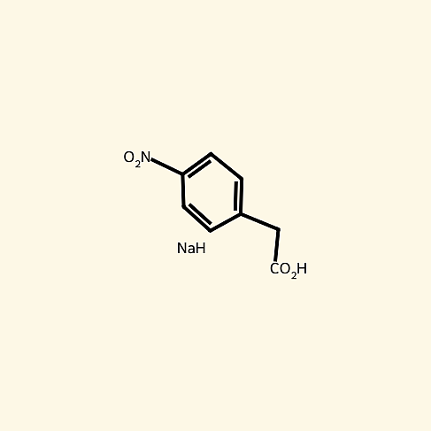 O=C(O)Cc1ccc([N+](=O)[O-])cc1.[NaH]